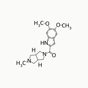 COc1cc2cc(C(=O)N3C[C@H]4CN(C)C[C@H]4C3)[nH]c2cc1OC